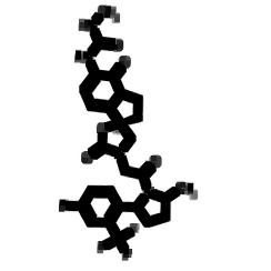 CNC(=O)NC1=CC=C2C(CC[C@]23CN(CC(=O)N2C(C)CCC2c2ccc(F)cc2C(F)(F)F)C(=O)O3)C1=O